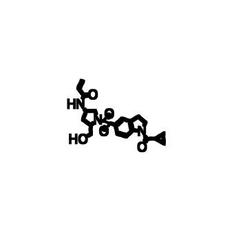 C=CC(=O)NC1CC(CO)N(S(=O)(=O)c2ccc3c(c2)CCN3C(=O)C2CC2)C1